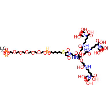 CO[PH](=O)OCCOCCOCCOCCOCCOCCOPOCCCCCCSC1CC(=O)N(CCC(=O)NC(COCCC(=O)NCCCCC(C(=O)O)N(CC(=O)O)CC(=O)O)(COCCC(=O)NCCCCC(C(=O)O)N(CC(=O)O)CC(=O)O)COCCC(O)NCCCCC(C(=O)O)N(CC(=O)O)CC(=O)O)C1=O